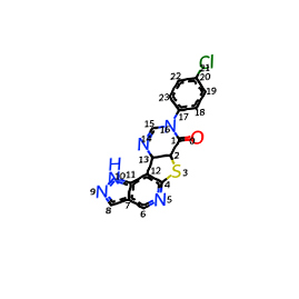 O=C1C2Sc3ncc4cn[nH]c4c3C2N=CN1c1ccc(Cl)cc1